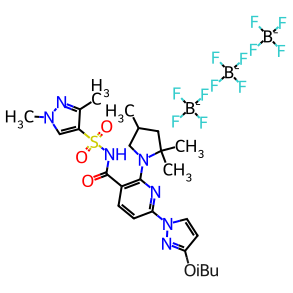 Cc1nn(C)cc1S(=O)(=O)NC(=O)c1ccc(-n2ccc(OCC(C)C)n2)nc1N1CC(C)CC1(C)C.F[B-](F)(F)F.F[B-](F)(F)F.F[B-](F)(F)F